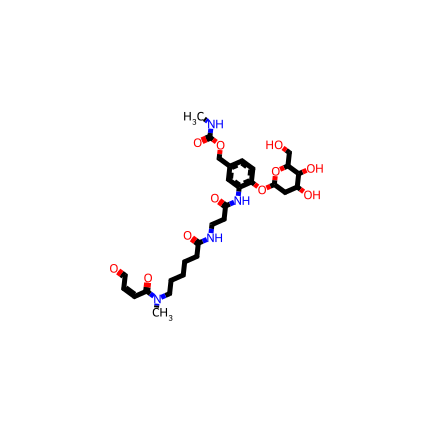 CNC(=O)OCc1ccc(OC2CC(O)C(O)C(CO)O2)c(NC(=O)CCNC(=O)CCCCCN(C)C(=O)/C=C\C=O)c1